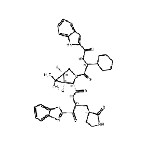 CC1(C)[C@@H]2[C@@H](C(=O)N[C@@H](C[C@@H]3CCNC3=O)C(=O)c3nc4ccccc4s3)N(C(=O)[C@@H](NC(=O)c3cc4ccccc4[nH]3)C3CCCCC3)C[C@@H]21